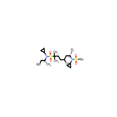 CC(CCC(C)(C)S(=O)(=O)N(C1CC1)[C@H](C)CC(C)(C)C)C[C@H](C)N(C1CC1)S(=O)(=O)C(C)(C)C